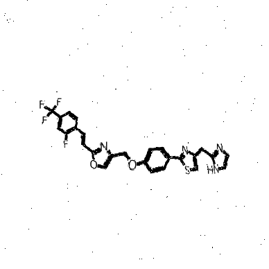 Fc1cc(C(F)(F)F)ccc1C=Cc1nc(COc2ccc(-c3nc(Cc4ncc[nH]4)cs3)cc2)co1